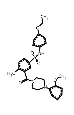 CCOc1ccc(NS(=O)(=O)c2ccc(C)c(C(=O)N3CCN(c4ccccc4OC)CC3)c2)cc1